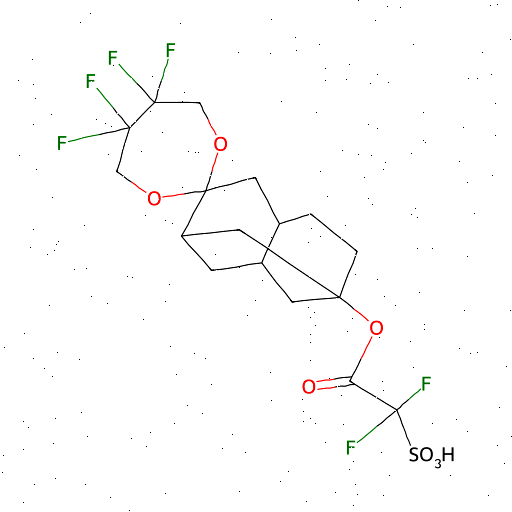 O=C(OC12CCC3CC4(OCC(F)(F)C(F)(F)CO4)C(CC3C1)C2)C(F)(F)S(=O)(=O)O